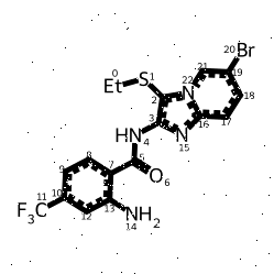 CCSc1c(NC(=O)c2ccc(C(F)(F)F)cc2N)nc2ccc(Br)cn12